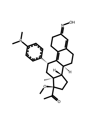 CO[C@]1(C(C)=O)CC[C@H]2[C@@H]3CCC4=C/C(=N\O)CCC4=C3[C@@H](c3ccc(N(C)C)cc3)C[C@@]21C